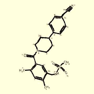 Cc1cc(C)c(C(=O)N2CCC(c3ccc(C#N)cc3)CC2)cc1NS(C)(=O)=O